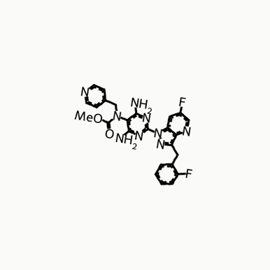 COC(=O)N(Cc1ccncc1)c1c(N)nc(-n2nc(Cc3ccccc3F)c3ncc(F)cc32)nc1N